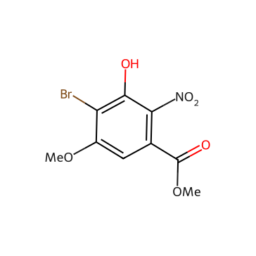 COC(=O)c1cc(OC)c(Br)c(O)c1[N+](=O)[O-]